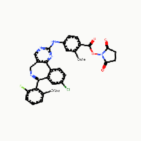 COc1cc(Nc2ncc3c(n2)-c2ccc(Cl)cc2C(c2c(F)cccc2OC)=NC3)ccc1C(=O)ON1C(=O)CCC1=O